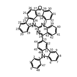 c1ccc(-n2c3ccccc3c3cc(-c4nc(-n5c6ccccc6c6ccc7oc8ccccc8c7c65)nc5ccccc45)ccc32)cc1